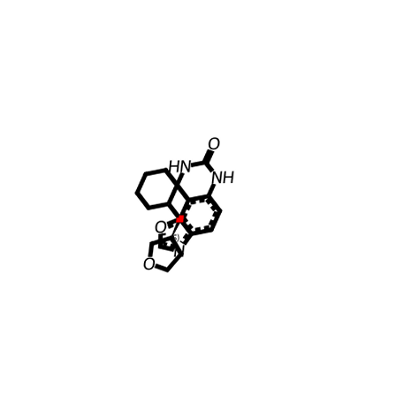 O=C1Nc2ccc3ncoc3c2C2(CCCCC2C[C@H]2CCOC2)N1